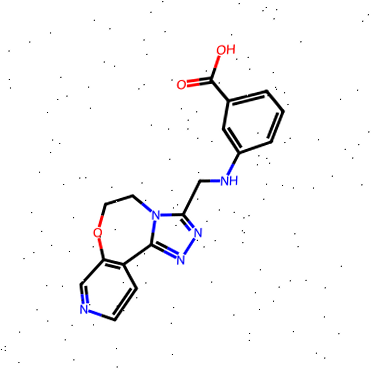 O=C(O)c1cccc(NCc2nnc3n2CCOc2cnccc2-3)c1